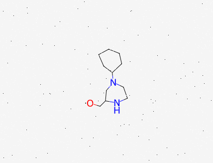 [O]CC1CN(C2CCCCC2)CCN1